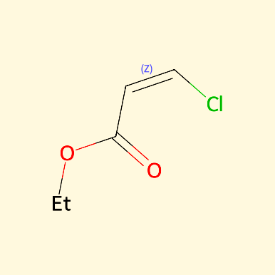 CCOC(=O)/C=C\Cl